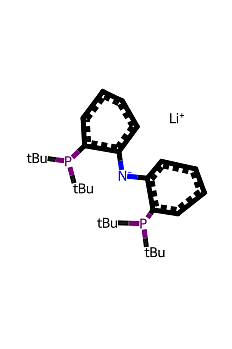 CC(C)(C)P(c1ccccc1[N-]c1ccccc1P(C(C)(C)C)C(C)(C)C)C(C)(C)C.[Li+]